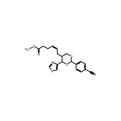 COC(=O)CC/C=C\CC1COC(c2ccc(C#N)cc2)OC1c1cscn1